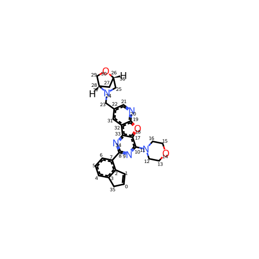 C1=Cc2c(cccc2-c2nc(N3CCOCC3)c3oc4ncc(CN5C[C@@H]6C[C@H]5CO6)cc4c3n2)C1